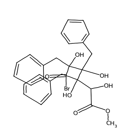 COC(=O)C(O)C(O)(Cc1ccccc1)C(O)(Cc1ccccc1)C(O)(Cc1ccccc1)C(=O)Br